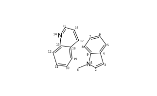 Cn1ccc2ccccc21.c1ccc2ncccc2c1